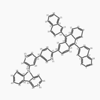 c1ccc2cc(-c3c4ccccc4c(-c4ccc5ccccc5c4)c4cc(-c5ccc(-c6cncc(-n7c8ccccc8c8cnccc87)c6)cn5)ccc34)ccc2c1